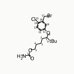 CC(C)(C)C(CCCCOC(N)=O)Oc1ccc(Cl)c(CBr)c1